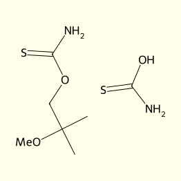 COC(C)(C)COC(N)=S.NC(O)=S